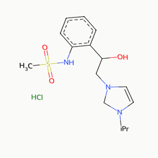 CC(C)N1C=CN(CC(O)c2ccccc2NS(C)(=O)=O)C1.Cl